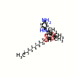 CCCCCCCCCCCCO[C@H]1O[C@H]([C@H](C)Nc2ccc(N)cc2)[C@@H]2OC(C)(C)O[C@H]12